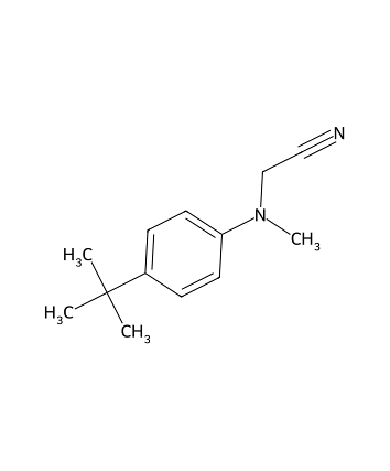 CN(CC#N)c1ccc(C(C)(C)C)cc1